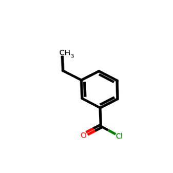 CCc1cccc(C(=O)Cl)c1